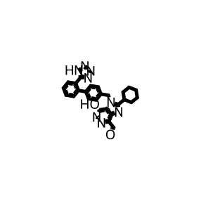 O=Cc1nnc(O)c2c1nc(C1CCCCC1)n2Cc1ccc(-c2ccccc2-c2nnn[nH]2)cc1